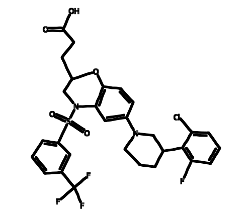 O=C(O)CCC1CN(S(=O)(=O)c2cccc(C(F)(F)F)c2)c2cc(N3CCCC(c4c(F)cccc4Cl)C3)ccc2O1